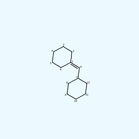 C(=C1CCCCC1)C1CCCCC1